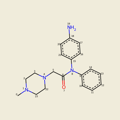 CN1CCN(CC(=O)N(c2ccccc2)c2ccc(N)cc2)CC1